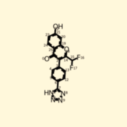 O=c1c(-c2ccc(-c3nnn[nH]3)cc2)c(C(F)F)oc2cc(O)ccc12